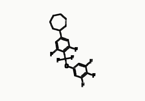 Fc1cc(OC(F)(F)c2c(F)cc(C3CCCCCC3)cc2F)cc(F)c1F